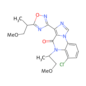 COCC(C)c1nc(-c2ncn3c2c(=O)n(C(C)COC)c2c(Cl)cccc23)no1